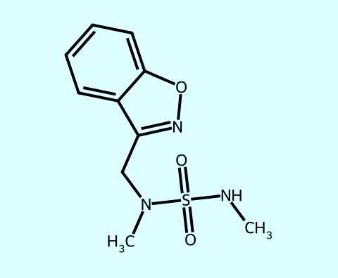 CNS(=O)(=O)N(C)Cc1noc2ccccc12